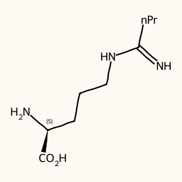 CCCC(=N)NCCC[C@H](N)C(=O)O